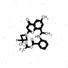 Cc1cc(C(C)Nc2ccccc2C(=O)OC(=O)C(F)(F)F)c2oc(N3CC(F)(C(F)(F)F)C3)cc(=O)c2c1